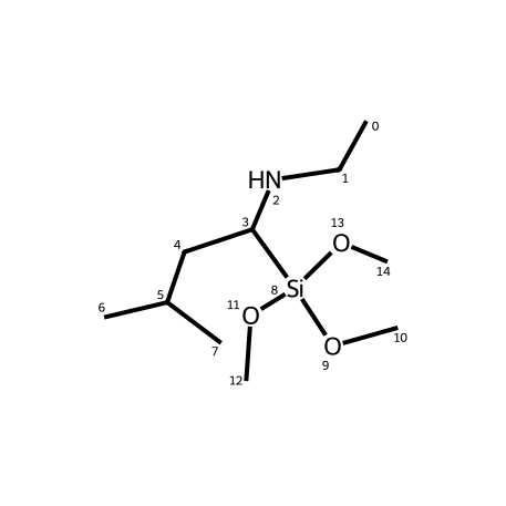 CCNC(CC(C)C)[Si](OC)(OC)OC